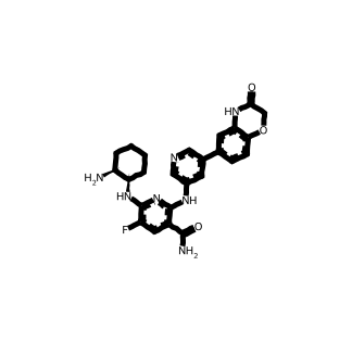 NC(=O)c1cc(F)c(N[C@@H]2CCCC[C@@H]2N)nc1Nc1cncc(-c2ccc3c(c2)NC(=O)CO3)c1